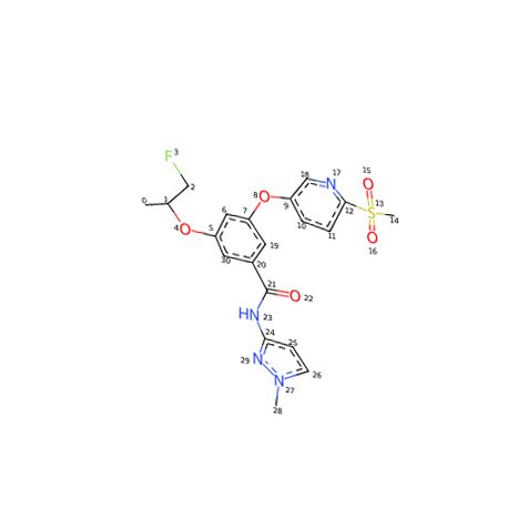 CC(CF)Oc1cc(Oc2ccc(S(C)(=O)=O)nc2)cc(C(=O)Nc2ccn(C)n2)c1